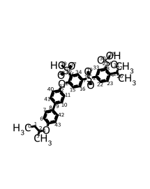 CCC(C)Oc1ccc(-c2ccc(Oc3ccc(S(=O)(=O)c4ccc(C(C)C)c(S(=O)(=O)O)c4)cc3S(=O)(=O)O)cc2)cc1